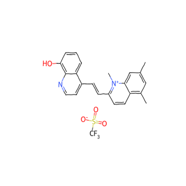 Cc1cc(C)c2ccc(C=Cc3ccnc4c(O)cccc34)[n+](C)c2c1.O=S(=O)([O-])C(F)(F)F